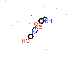 O=S(=O)(c1ccc2cc[nH]c2c1)N1CCN(c2ccc(O)cc2)CC1